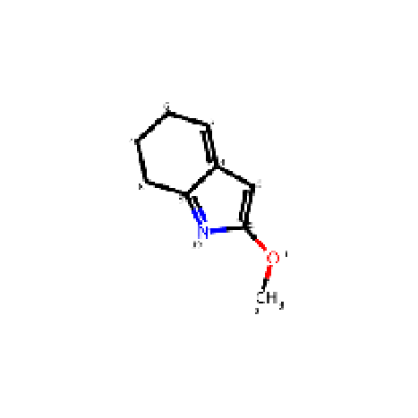 COC1=CC2=CCCCC2=N1